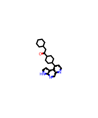 O=C(CC1[CH]CCCC1)C1CCC(c2ccnc3cnc4[nH]ccc4c23)CC1